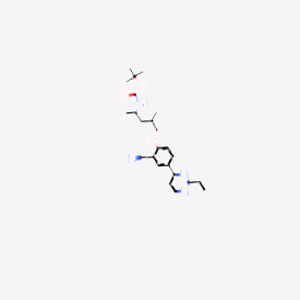 C=Cc1nccc(-c2ccc(OCC(C)CC(C)NC(=O)OC(C)(C)C)c(C#N)c2)n1